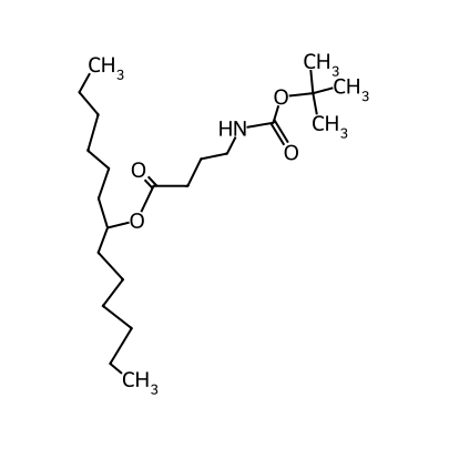 CCCCCCC(CCCCCC)OC(=O)CCCNC(=O)OC(C)(C)C